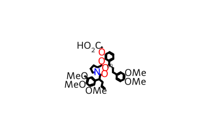 C=CCC(C(=O)N1CCCC1C(=O)O[C@H](CCc1ccc(OC)c(OC)c1)c1cccc(OCC(=O)O)c1)c1cc(OC)c(OC)c(OC)c1